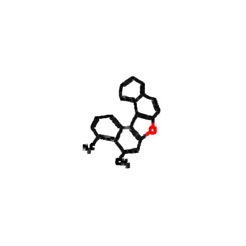 Cc1cccc2c1c(C)cc1oc3ccc4ccccc4c3c12